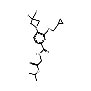 CC(C)OC(=O)CNC(=O)c1ccc(N2CC(F)(F)C2)c(OCC2CC2)n1